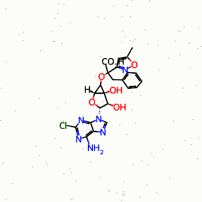 Cc1cc(C(Cc2ccccc2)(OC2[C@H]3O[C@@H](n4cnc5c(N)nc(Cl)nc54)[C@H](O)[C@@]23O)C(=O)O)no1